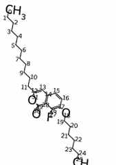 CCCCCCCCCCCCc1cc2ccc(OCCCCCCC)c(F)c2c(=O)o1